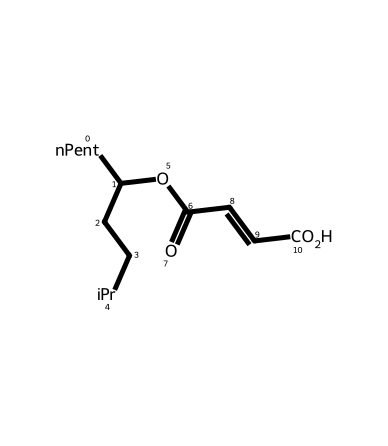 CCCCCC(CCC(C)C)OC(=O)C=CC(=O)O